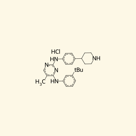 Cc1cnc(Nc2ccc(C3CCNCC3)cc2)nc1Nc1cccc(C(C)(C)C)c1.Cl